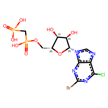 O=P(O)(O)CP(=O)(O)OC[C@H]1O[C@@H](n2cnc3c(Cl)nc(Br)nc32)[C@H](O)[C@@H]1O